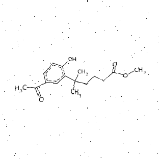 COC(=O)CCCC(C)(C)c1cc(C(C)=O)ccc1O